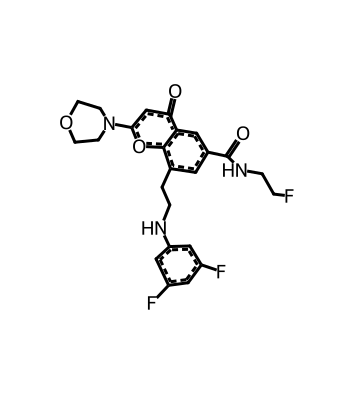 O=C(NCCF)c1cc(CCNc2cc(F)cc(F)c2)c2oc(N3CCOCC3)cc(=O)c2c1